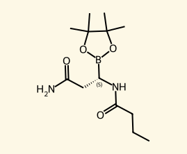 CCCC(=O)N[C@H](CC(N)=O)B1OC(C)(C)C(C)(C)O1